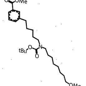 COCCCCCCCCN(CCCCCc1cccc(C(=O)OC)c1)C(=O)OC(C)(C)C